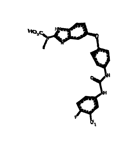 CN(C(=O)O)c1nc2cc(Oc3ccc(NC(=O)Nc4ccc(F)c(C(F)(F)F)c4)cc3)ccc2[nH]1